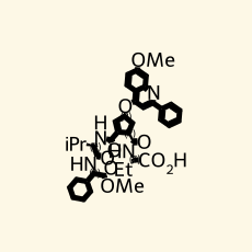 CC[C@H](NC(=O)[C@@H]1C[C@@H](Oc2cc(-c3ccccc3)nc3cc(OC)ccc23)C=C1C(=O)N[C@@H](C(=O)N[C@@H](C(=O)OC)C1CCCCC1)C(C)C)C(=O)O